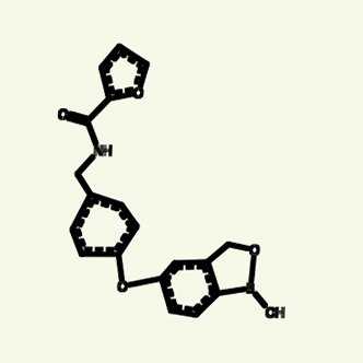 O=C(NCc1ccc(Oc2ccc3c(c2)COB3O)cc1)c1ccco1